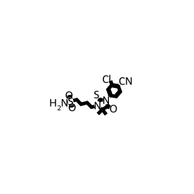 CC1(C)C(=O)N(c2ccc(C#N)c(Cl)c2)C(=S)N1CCCCS(N)(=O)=O